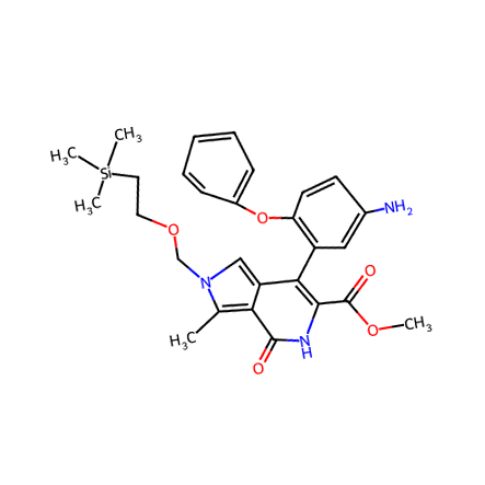 COC(=O)c1[nH]c(=O)c2c(C)n(COCC[Si](C)(C)C)cc2c1-c1cc(N)ccc1Oc1ccccc1